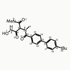 CNC(=O)C(C(=O)NO)N(C)C(=O)c1ccc(-c2ccc(C(C)(C)C)cc2)cc1